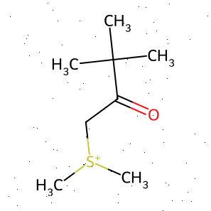 C[S+](C)CC(=O)C(C)(C)C